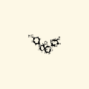 O=C1N(C2CCC(O)CC2)CC[C@]12CCCN(c1ncc(F)cn1)C2